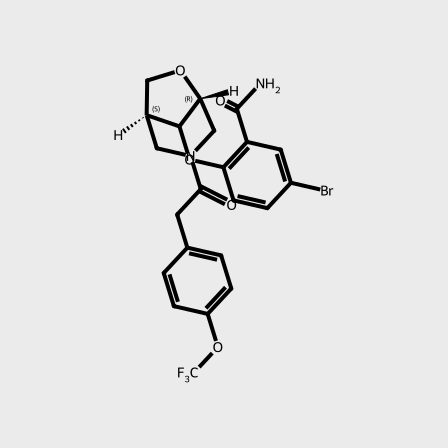 NC(=O)c1cc(Br)ccc1OC1[C@@H]2CO[C@@H]1CN(C(=O)Cc1ccc(OC(F)(F)F)cc1)C2